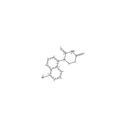 O=C1CCN(c2cccc3c(Br)cccc23)C(=O)N1